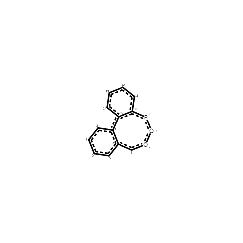 c1ccc2c(c1)coopc1ccccc12